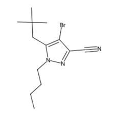 CCCCn1nc(C#N)c(Br)c1CC(C)(C)C